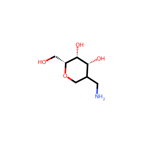 NCC1CO[C@H](CO)[C@H](O)[C@@H]1O